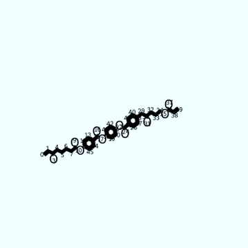 C=CC(=O)CCCCC(=O)Oc1ccc(C(=O)Oc2ccc(OC(=O)c3ccc(CC(=O)CCCOC(=O)C=C)cc3)cc2)cc1